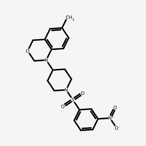 Cc1ccc2c(c1)COCN2C1CCN(S(=O)(=O)c2cccc([N+](=O)[O-])c2)CC1